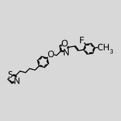 Cc1ccc(/C=C/c2nc(COc3ccc(CCCCc4nccs4)cc3)co2)c(F)c1